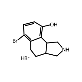 Br.Oc1ccc(Br)c2c1C1CNCC1CC2